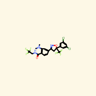 CN(C)c1cc(C2=NOC(c3cc(Cl)cc(Cl)c3)(C(F)(F)F)C2)ccc1C(=O)NCC(F)(F)F